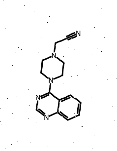 N#CCN1CCN(c2ncnc3ccccc23)CC1